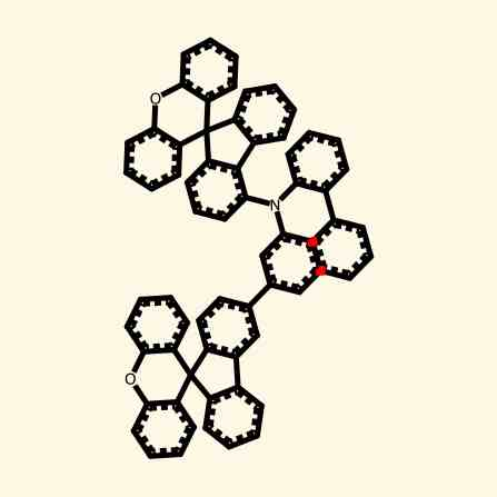 c1ccc(-c2ccccc2N(c2cccc(-c3ccc4c(c3)-c3ccccc3C43c4ccccc4Oc4ccccc43)c2)c2cccc3c2-c2ccccc2C32c3ccccc3Oc3ccccc32)cc1